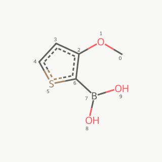 COc1ccsc1B(O)O